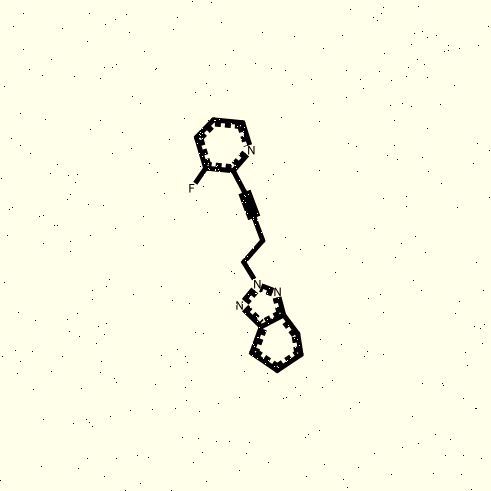 Fc1cccnc1C#CCCn1nc2ccccc2n1